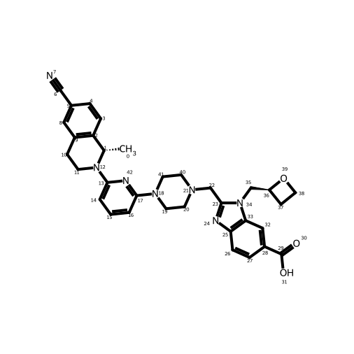 C[C@H]1c2ccc(C#N)cc2CCN1c1cccc(N2CCN(Cc3nc4ccc(C(=O)O)cc4n3C[C@@H]3CCO3)CC2)n1